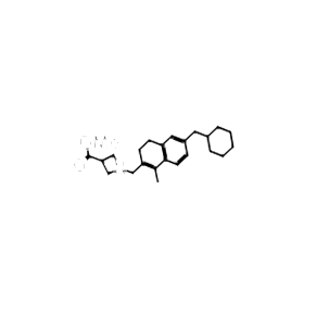 COC(=O)C1CN(CC2=C(C)c3ccc(CC4CCCCC4)cc3CC2)C1